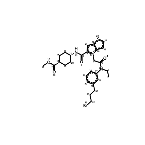 CCN(C(=O)Cn1c(C(=O)N[C@H]2CC[C@H](C(=O)OC)CC2)cc2sccc21)c1cccc(CCCBr)c1